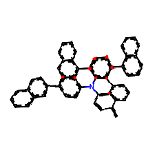 C=C(/C=C\C(=C/C)N(c1ccc(-c2ccc3ccccc3c2)cc1)c1cc(-c2cccc3ccccc23)ccc1-c1cccc2ccccc12)c1cccc(-c2ccccc2)c1